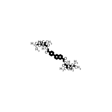 CC(C)C(NC(=O)OC(C)(C)C)C(=O)OCC(=O)c1ccc(-c2ccc3cc(C(=O)COC(=O)C(NC(=O)OC(C)(C)C)C(C)C)ccc3c2)cc1